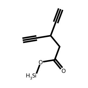 C#CC(C#C)CC(=O)O[SiH3]